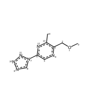 COCc1ncc(-n2cnnn2)nc1C